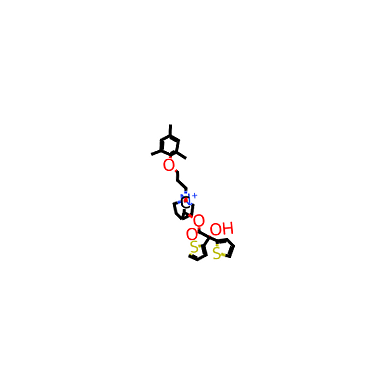 Cc1cc(C)c(OCCC[N+]23CCC(CC2)C(OC(=O)C(O)(c2cccs2)c2cccs2)C3)c(C)c1